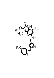 Cc1nc(NCc2cnn(Cc3cc(C(F)(F)F)ccn3)c2)nc2c1NC(=O)C(OC(C)C)N2C